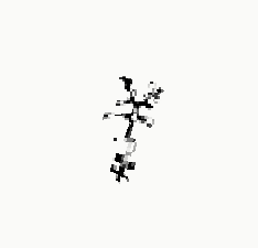 C=CCOC(=O)/C(=C(/C)OS(C)(=O)=O)N1C(=O)[C@H]([C@@H](C)O[Si](C)(C)C(C)(C)C)[C@H]1Cl